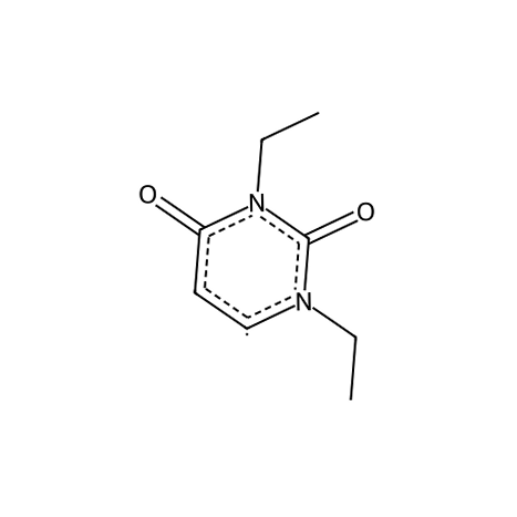 CCn1[c]cc(=O)n(CC)c1=O